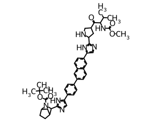 COC(=O)NC(C(=O)C1CNC(c2ncc(-c3ccc4cc(-c5ccc(-c6cnc(C7C8CCC(C8)N7C(=O)OC(C)(C)C)[nH]6)cc5)ccc4c3)[nH]2)C1)C(C)C